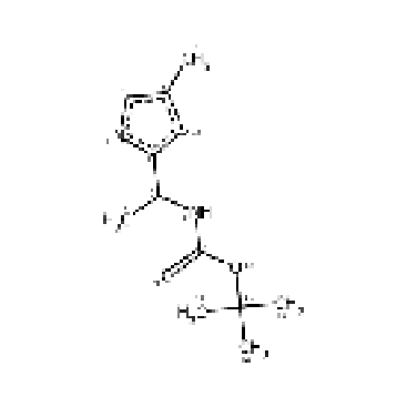 Cc1cnc(C(C)NC(=O)OC(C)(C)C)s1